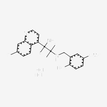 COc1ccc(O)c(CNC(C)(C)C(N)(I)c2ccnc3cc(Cl)ccc23)c1.Cl.Cl